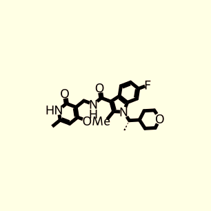 COc1cc(C)[nH]c(=O)c1CNC(=O)c1c(C)n([C@@H](C)C2CCOCC2)c2cc(F)ccc12